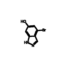 Oc1cc(Br)c2cn[nH]c2c1